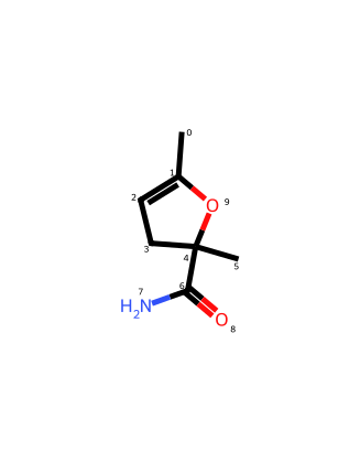 CC1=CCC(C)(C(N)=O)O1